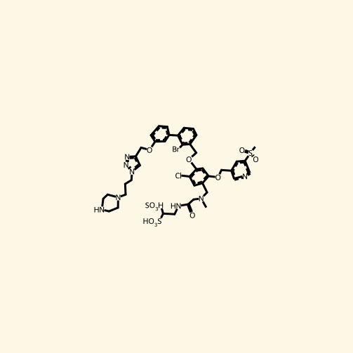 CN(CC(=O)NCC(S(=O)(=O)O)S(=O)(=O)O)Cc1cc(Cl)c(OCc2cccc(-c3cccc(OCc4cn(CCCN5CCNCC5)nn4)c3)c2Br)cc1OCc1cncc(S(C)(=O)=O)c1